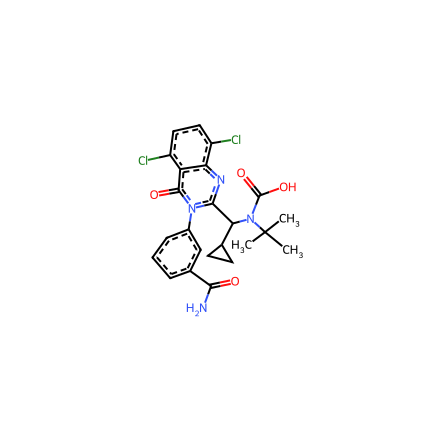 CC(C)(C)N(C(=O)O)C(c1nc2c(Cl)ccc(Cl)c2c(=O)n1-c1cccc(C(N)=O)c1)C1CC1